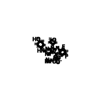 O=P([O-])([O-])OCn1/c(=N\c2c(F)cc(F)cc2F)n([C@H]2CCOC2)c2nc(NC3CCC(O)CC3)ncc21.[Na+].[Na+]